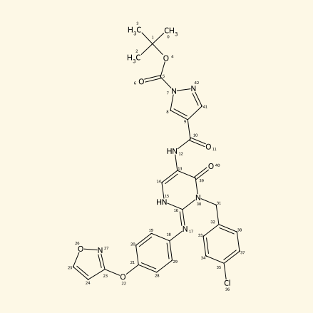 CC(C)(C)OC(=O)n1cc(C(=O)Nc2c[nH]/c(=N\c3ccc(Oc4ccon4)cc3)n(Cc3ccc(Cl)cc3)c2=O)cn1